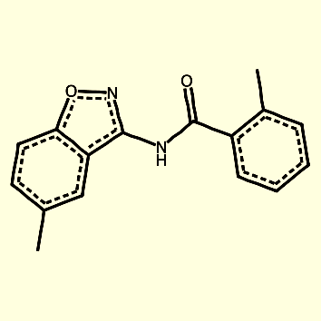 Cc1ccc2onc(NC(=O)c3ccccc3C)c2c1